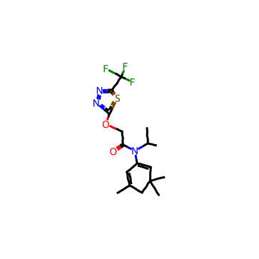 CC1=CC(N(C(=O)COc2nnc(C(F)(F)F)s2)C(C)C)=CC(C)(C)C1